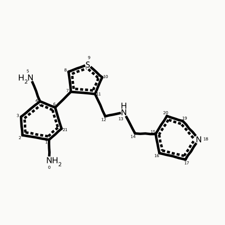 Nc1ccc(N)c(-c2cscc2CNCc2ccncc2)c1